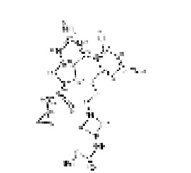 CC(C)(C)OC(=O)NC1CN(CCOc2cc(Cl)cc(Cl)c2-c2nc(N)nc3c2CN(C(=O)NC2CC2)C3)C1